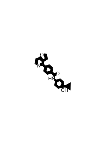 O=C(NC1CCC(O)(C2CC2)CC1)c1ccc(-c2nccc3occc23)cc1